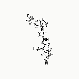 Cc1c(SNC2CCN(c3ncnc4sc(CC(F)(F)F)cc34)C2)ccc2[nH]c(C#N)cc12